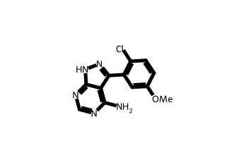 COc1ccc(Cl)c(-c2n[nH]c3ncnc(N)c23)c1